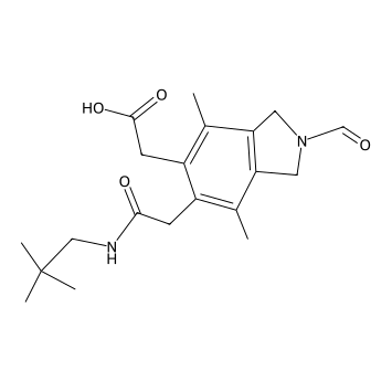 Cc1c(CC(=O)O)c(CC(=O)NCC(C)(C)C)c(C)c2c1CN(C=O)C2